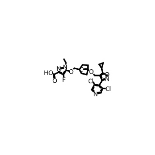 CCn1nc(C(=O)O)c(F)c1OCC12CCC(OCc3c(-c4c(Cl)cncc4Cl)noc3C3CC3)(CC1)CC2